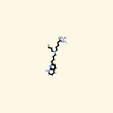 N[C@@H](CCCCN(CCCF)CCCCc1ccc2c(n1)NCCC2)C(=O)O